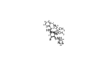 COC(C)(C)C1CN(Cc2ccccc2CNc2cc(F)c(SNc3cscn3)c(F)c2)C1